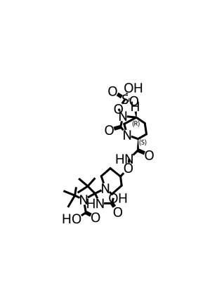 CC(C)(C)N(C(=O)O)C(NC(=O)O)(N1CCC(ONC(=O)[C@@H]2CC[C@@H]3CN2C(=O)N3OS(=O)(=O)O)CC1)C(C)(C)C